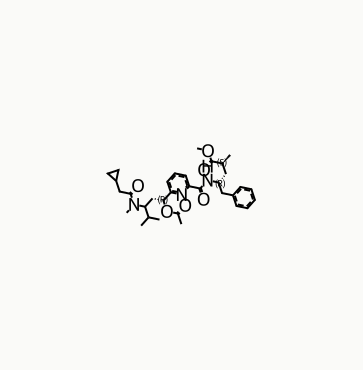 COC(=O)[C@@H](C)C[C@H](Cc1ccccc1)NC(=O)c1cccc([C@@H](CC(C(C)C)N(C)C(=O)CC2CC2)OC(C)=O)n1